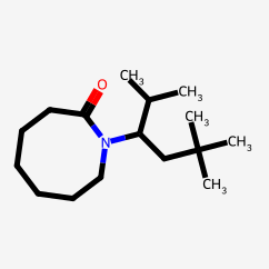 CC(C)C(CC(C)(C)C)N1CCCCCCC1=O